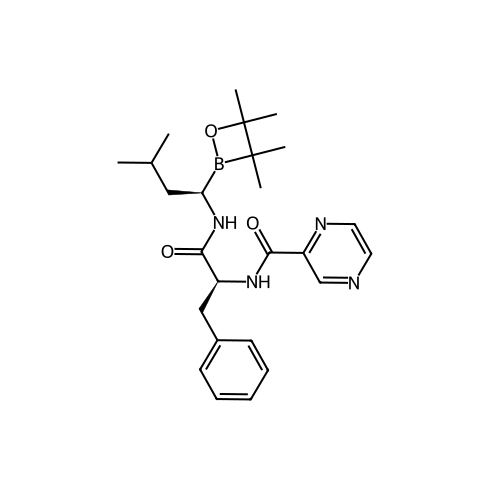 CC(C)C[C@H](NC(=O)[C@H](Cc1ccccc1)NC(=O)c1cnccn1)B1OC(C)(C)C1(C)C